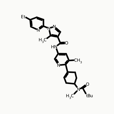 CCc1ccc(-n2ncc(C(=O)Nc3cnc(C4=CCC(N(C)C(=O)C(C)(C)C)CC4)c(C)c3)c2C)nc1